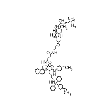 CCc1ccc(NC(=O)[C@H](CCCCNC(c2ccccc2)(c2ccccc2)c2ccc(OC)cc2)NC(=O)[C@H](Cc2cccc3ccccc23)NC(=O)CCC(=O)NCCCO[C@H]2CC[C@@]3(C)C(=CC[C@H]4[C@@H]5CC[C@H]([C@H](C)CCCC(C)C)[C@@]5(C)CC[C@@H]43)C2)cc1